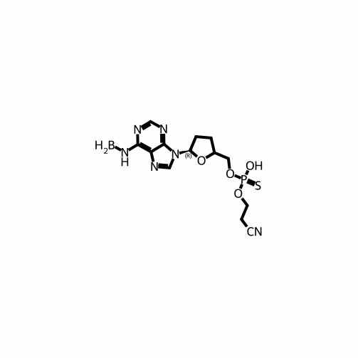 BNc1ncnc2c1ncn2[C@H]1CCC(COP(O)(=S)OCCC#N)O1